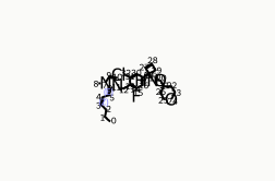 CCC/C=C\C=C1/N(C)C=CN1Cc1c(F)cc([C@@]2(NOC3CCOCC3)C=CC2)cc1Cl